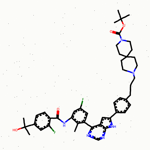 Cc1c(NC(=O)c2ccc(C(C)(C)O)cc2F)cc(F)cc1-c1ncnc2[nH]c(-c3ccc(CCCN4CCC5(CC4)CCN(C(=O)OC(C)(C)C)CC5)cc3)cc12